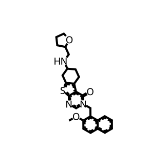 COc1ccc2ccccc2c1Cn1cnc2sc3c(c2c1=O)CCC(NCC1CCCO1)C3